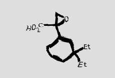 CCC1(CC)C=CC=C(C2(C(=O)O)CO2)C1